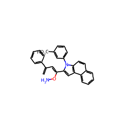 C=C(/C=C(\ON)c1cc2c3ccccc3ccc2n1-c1cccc(C(=O)O)c1)c1ccccc1